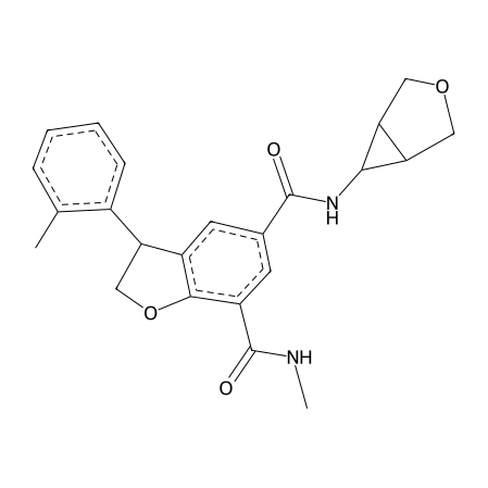 CNC(=O)c1cc(C(=O)NC2C3COCC32)cc2c1OCC2c1ccccc1C